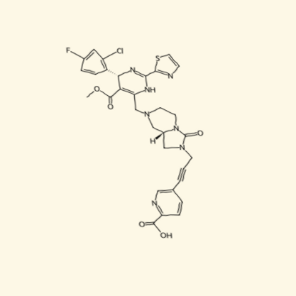 COC(=O)C1=C(CN2CCN3C(=O)N(CC#Cc4ccc(C(=O)O)nc4)C[C@@H]3C2)NC(c2nccs2)=N[C@H]1c1ccc(F)cc1Cl